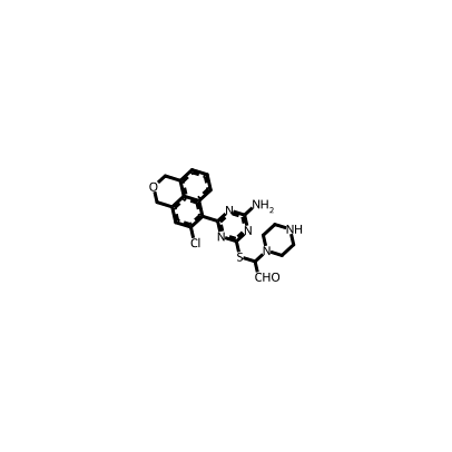 Nc1nc(SC(C=O)N2CCNCC2)nc(-c2c(Cl)cc3c4c(cccc24)COC3)n1